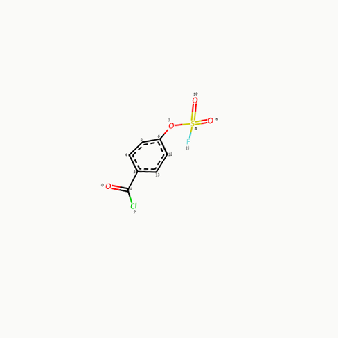 O=C(Cl)c1ccc(OS(=O)(=O)F)cc1